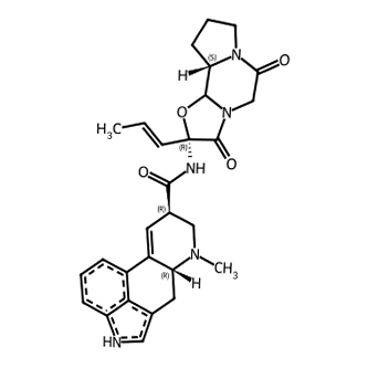 CC=C[C@@]1(NC(=O)[C@@H]2C=C3c4cccc5[nH]cc(c45)C[C@H]3N(C)C2)OC2[C@@H]3CCCN3C(=O)CN2C1=O